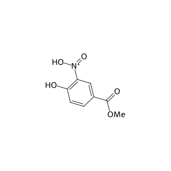 COC(=O)c1ccc(O)c([N+](=O)O)c1